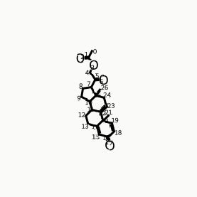 CC(=O)OCC(=O)C1CCC2C3CCC4=CC(=O)C=CC4(C)C3=CCC12C